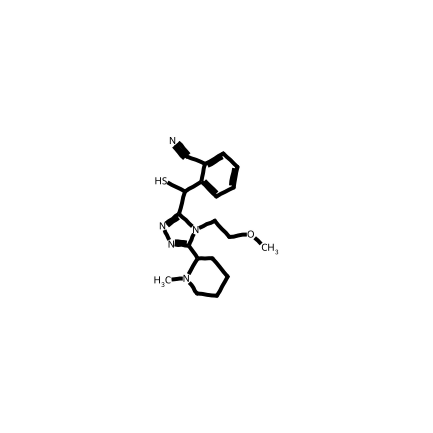 COCCn1c(C(S)c2ccccc2C#N)nnc1C1CCCCN1C